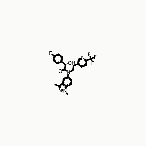 Cc1nn(C)c2ccc(N(CCc3ccc(C(F)(F)F)nc3)C(=O)[C@@H](O)c3ccc(F)cc3)cc12